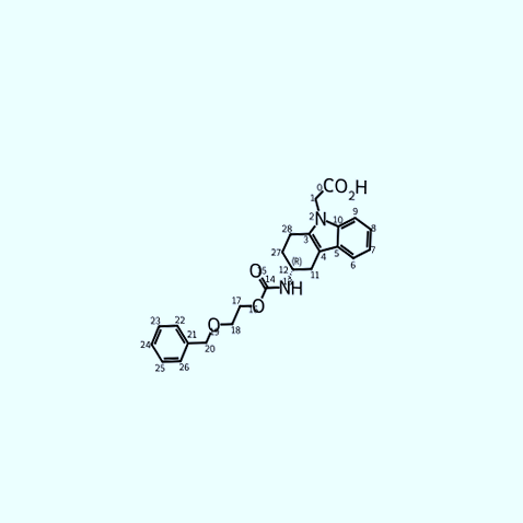 O=C(O)Cn1c2c(c3ccccc31)C[C@H](NC(=O)OCCOCc1ccccc1)CC2